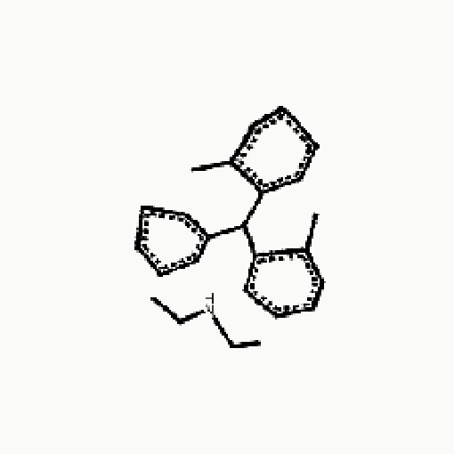 CCNCC.Cc1ccccc1C(c1ccccc1)c1ccccc1C